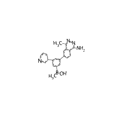 CB(O)c1cc(-c2cccnc2)cc(-c2ccc3c(N)nnc(C)c3c2)c1